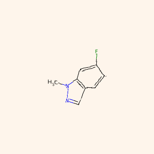 Cn1ncc2c[c]c(F)cc21